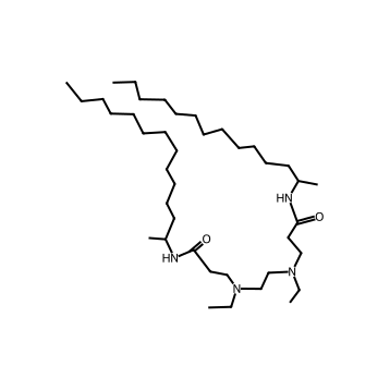 CCCCCCCCCCCCC(C)NC(=O)CCN(CC)CCN(CC)CCC(=O)NC(C)CCCCCCCCCCCC